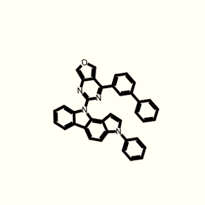 c1ccc(-c2cccc(-c3nc(-n4c5ccccc5c5ccc6c(ccn6-c6ccccc6)c54)nc4cocc34)c2)cc1